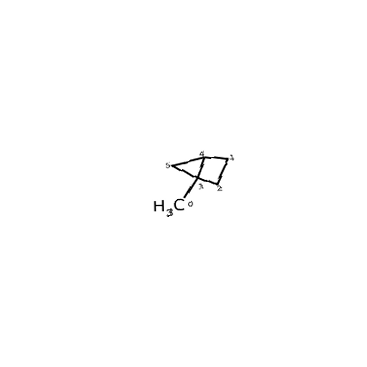 CC12CCC1C2